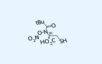 CC(C)(C)C(=O)N(O[N+](=O)[O-])[C@@H](CS)C(=O)O